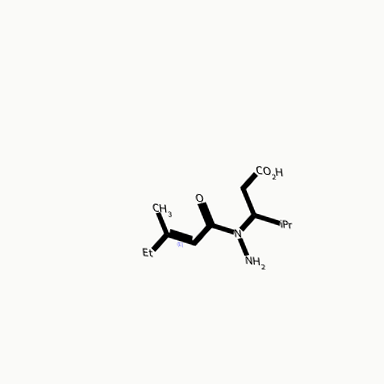 CC/C(C)=C/C(=O)N(N)C(CC(=O)O)C(C)C